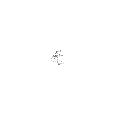 [Li+].[Mn+2].[Ni+2].[O-2].[Zr+4]